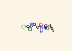 CN(C)CCNC(=O)c1cccc(-c2ccc3c(c2)N(Cc2ccc(Cl)cc2Cl)CC3)c1